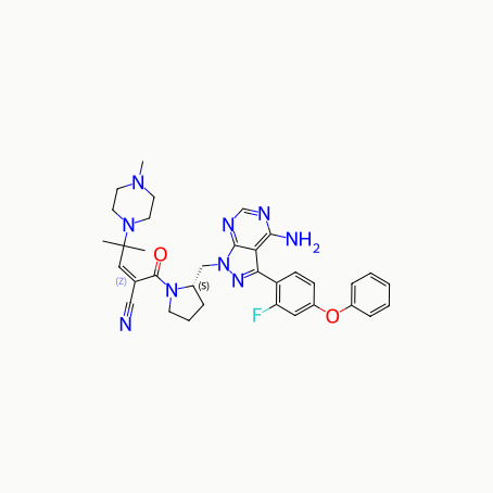 CN1CCN(C(C)(C)/C=C(/C#N)C(=O)N2CCC[C@H]2Cn2nc(-c3ccc(Oc4ccccc4)cc3F)c3c(N)ncnc32)CC1